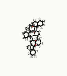 c1ccc(-c2ccc(-c3cccc4ccccc34)cc2N(c2ccc3c(c2)oc2ccccc23)c2cccc3sc4ccccc4c23)cc1